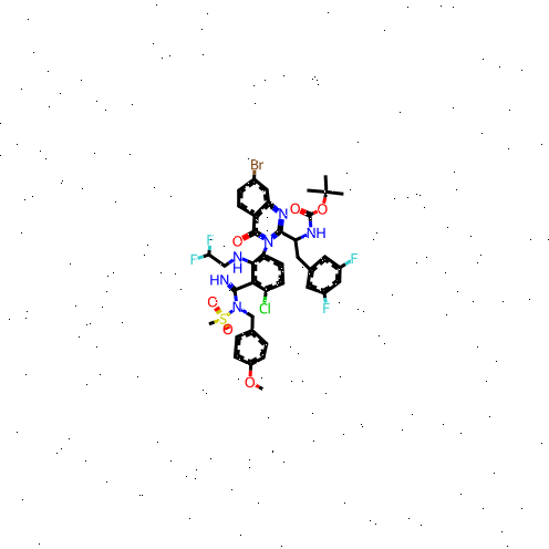 COc1ccc(CN(C(=N)c2c(Cl)ccc(-n3c(C(Cc4cc(F)cc(F)c4)NC(=O)OC(C)(C)C)nc4cc(Br)ccc4c3=O)c2NCC(F)F)S(C)(=O)=O)cc1